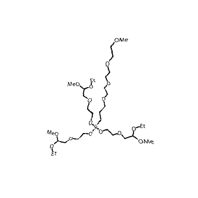 CCOC(COCCO[Si](CCCOCCOCCOCCOC)(OCCOCC(OC)OCC)OCCOCC(OC)OCC)OC